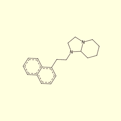 c1ccc2c(CCN3CCN4CCCCC43)cccc2c1